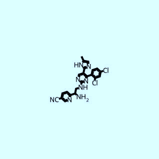 Cc1cnc(-c2cnc(NCC(N)c3ccc(C#N)cn3)nc2-c2ccc(Cl)cc2Cl)[nH]1